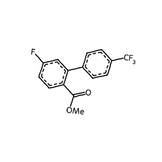 COC(=O)c1ccc(F)cc1-c1ccc(C(F)(F)F)cc1